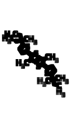 CCC(C)(C)c1ccc(-c2sc3c(C)c(-c4ccc(C(C)(CC)CC)s4)sc3c2C)s1